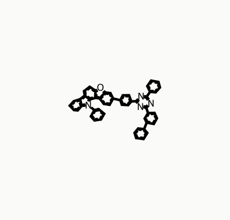 c1ccc(-c2cccc(-c3nc(-c4ccccc4)nc(-c4ccc(-c5ccc6c(c5)oc5ccc7c8ccccc8n(-c8ccccc8)c7c56)cc4)n3)c2)cc1